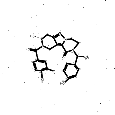 C[C@@H]1Cc2nn3c(c2CN1C(=O)c1ccc(Cl)c(Cl)c1)C(=O)N([C@@H](C)c1ccc(O)cc1)CC3